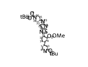 COCOc1cc(-c2ccnc(OC(C)(C)C)c2)ccc1-c1nc2sc(N(C)C3CCN(C(=O)OC(C)(C)C)CC3)nc2s1